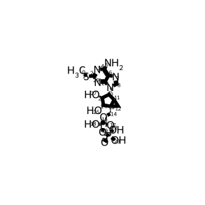 CSc1nc(N)c2ncn([C@@H]3C4C[C@@]4(COP(=O)(O)OP(=O)(O)O)[C@@H](O)[C@H]3O)c2n1